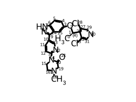 C[C@@H](Oc1ccc2[nH]nc(-c3ccc(N4CCN(C)CC4=O)nc3)c2c1)c1c(Cl)cncc1Cl